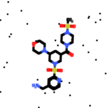 CS(=O)(=O)N1CCN(C(=O)C2CC(N3CCOCC3)CN(S(=O)(=O)c3cc(CN)ccn3)C2)CC1